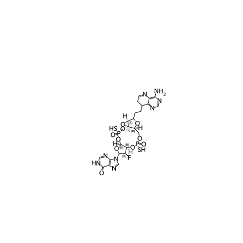 Nc1ncnc2c1N=CCC2CCC1O[C@@H]2COP(=O)(S)O[C@@H]3[C@H](OC(n4cnc5c(=O)[nH]cnc54)[C@@H]3F)OP(=O)(S)O[C@@]23O[C@@H]13